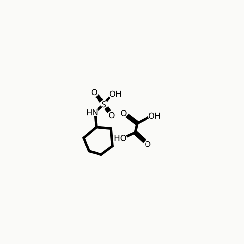 O=C(O)C(=O)O.O=S(=O)(O)NC1CCCCC1